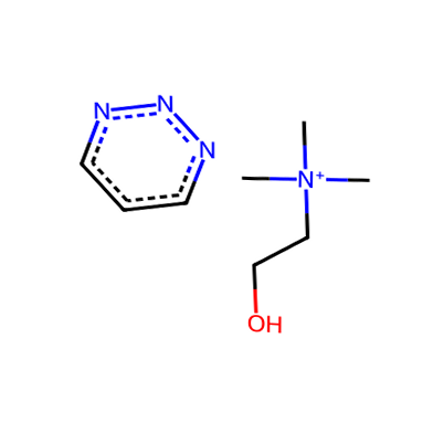 C[N+](C)(C)CCO.c1cnnnc1